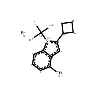 Cc1cccc2c1cc(C1CCC1)[s+]2C(F)(F)F.[Br-]